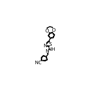 N#Cc1ccc(/C=N/Nc2ncc(-c3ccc4c(c3)OCCCO4)s2)cc1